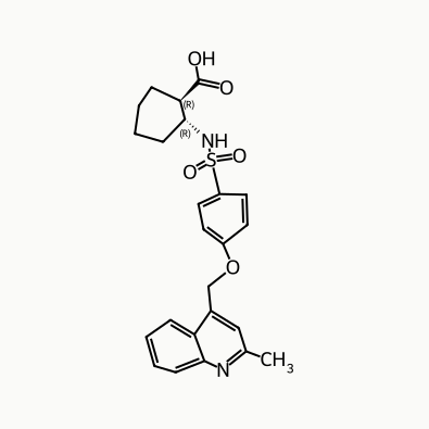 Cc1cc(COc2ccc(S(=O)(=O)N[C@@H]3CCCC[C@H]3C(=O)O)cc2)c2ccccc2n1